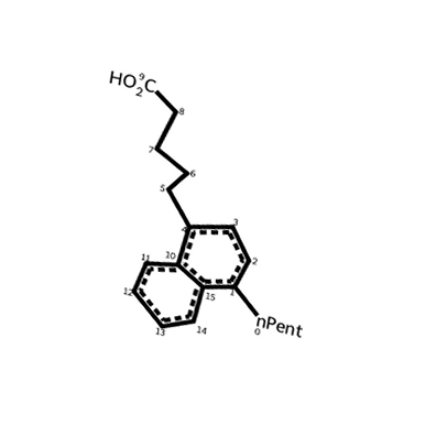 CCCCCc1ccc(CCCCC(=O)O)c2ccccc12